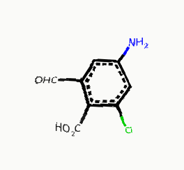 Nc1cc(Cl)c(C(=O)O)c(C=O)c1